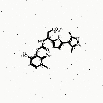 Cc1noc(C)c1-c1ccc(C(CC(=O)O)NC(=O)Nc2c(O)ccn(C)c2=O)s1